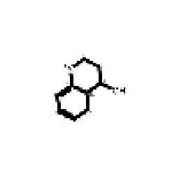 OC1CCSC2=CC=CCC21